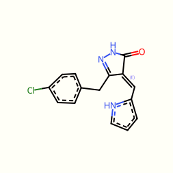 O=C1NN=C(Cc2ccc(Cl)cc2)/C1=C\c1ccc[nH]1